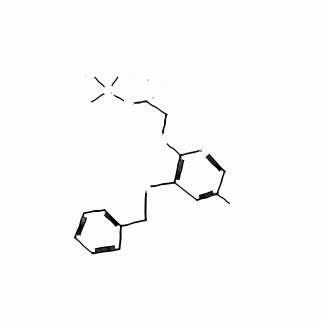 C[C@H](COc1ncc(C(F)(F)F)cc1SCc1ccccc1)O[Si](C)(C)C(C)(C)C